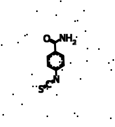 NC(=O)c1ccc(N=C=S)cc1